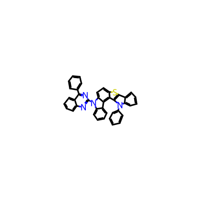 c1ccc(-c2nc(-n3c4ccccc4c4c5c(ccc43)sc3c4ccccc4n(-c4ccccc4)c35)nc3ccccc23)cc1